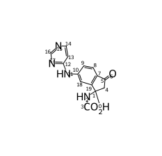 CC1(NC(=O)O)CC(=O)c2ccc(Nc3ccncn3)cc21